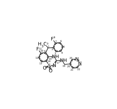 CC(c1ccccc1F)c1c(F)ccc2c1NC(NCc1ccnnc1)=NS2(=O)=O